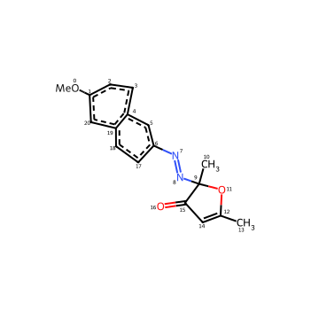 COc1ccc2cc(N=NC3(C)OC(C)=CC3=O)ccc2c1